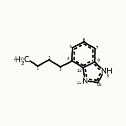 [CH2]CCCc1cccc2[nH]cnc12